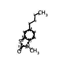 CCCCc1ccc2c(c1)sc(=O)n2C